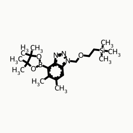 Cc1cc2c(nnn2COCC[Si](C)(C)C)c(B2OC(C)(C)C(C)(C)O2)c1C